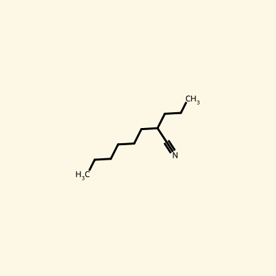 CCCCCCC(C#N)CCC